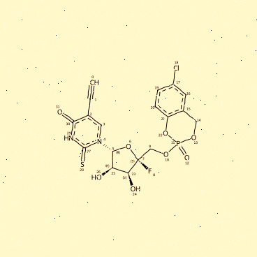 C#Cc1cn([C@@H]2O[C@](F)(COP3(=O)OCc4cc(Cl)ccc4O3)[C@@H](O)[C@H]2O)c(=S)[nH]c1=O